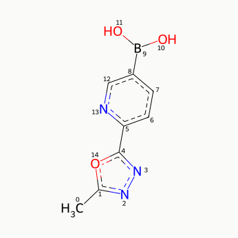 Cc1nnc(-c2ccc(B(O)O)cn2)o1